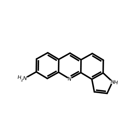 Nc1ccc2cc3ccc4[nH]ccc4c3nc2c1